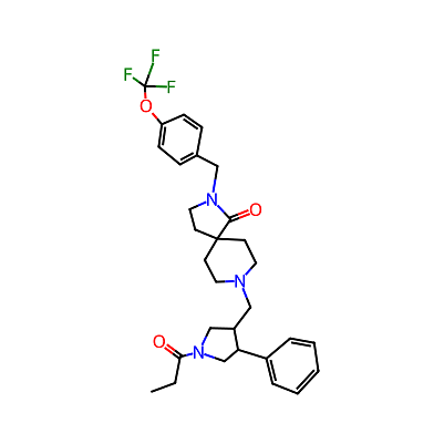 CCC(=O)N1CC(CN2CCC3(CC2)CCN(Cc2ccc(OC(F)(F)F)cc2)C3=O)C(c2ccccc2)C1